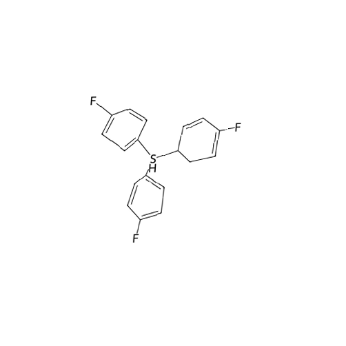 FC1=CCC([SH](c2ccc(F)cc2)c2ccc(F)cc2)C=C1